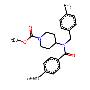 Bc1ccc(CN(C(=O)c2ccc(CCCCC)cc2)C2CCN(C(=O)OC(C)(C)C)CC2)cc1